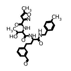 Cc1ccc(CNC(=O)C(CCc2cccc(C=O)c2)NC(=O)C(NC(=O)c2cc(C)on2)C(C)O)cc1